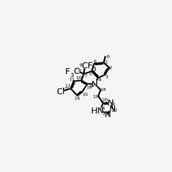 Cc1ccc2c(c1)C(C(F)(F)F)(C(F)(F)F)c1cc(Cl)ccc1N2CCc1nnn[nH]1